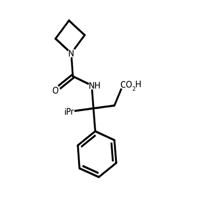 CC(C)C(CC(=O)O)(NC(=O)N1CCC1)c1ccccc1